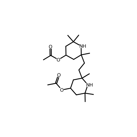 CC(=O)OC1CC(C)(C)NC(C)(CCC2(C)CC(OC(C)=O)CC(C)(C)N2)C1